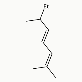 CCC(C)/C=C/C=C(C)C